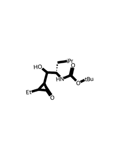 CCC1C(=O)C1C(O)[C@H](CC(C)C)NC(=O)OC(C)(C)C